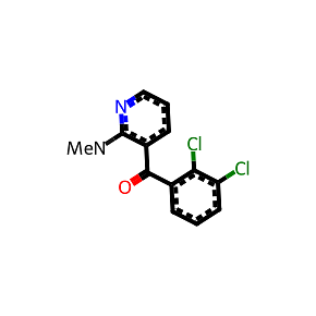 CNc1ncccc1C(=O)c1cccc(Cl)c1Cl